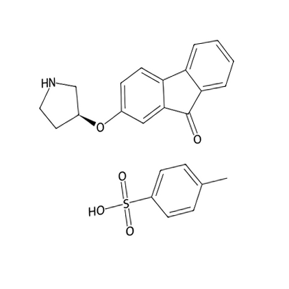 Cc1ccc(S(=O)(=O)O)cc1.O=C1c2ccccc2-c2ccc(O[C@H]3CCNC3)cc21